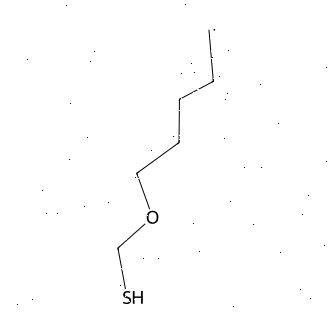 [CH2]CCCCOCS